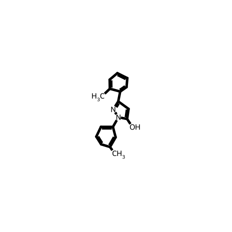 Cc1cccc(-n2nc(-c3ccccc3C)cc2O)c1